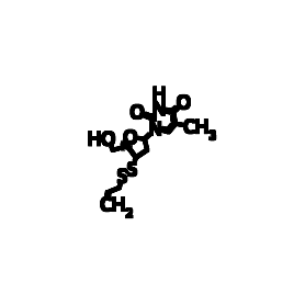 C=CCSSC1CC(n2cc(C)c(=O)[nH]c2=O)O[C@@H]1CO